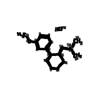 COc1cccc(C2CCCCC2CN(C)C)c1.Cl